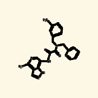 Cc1cccc(CN(Cc2ccccn2)C(=O)C(=O)Nc2cnc(N)c3cn[nH]c23)c1